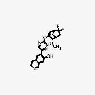 CO[C@H]1C2CC(F)(F)C(C[C@@H]1Oc1ncc(-c3cc4ccncc4cc3O)nn1)N2